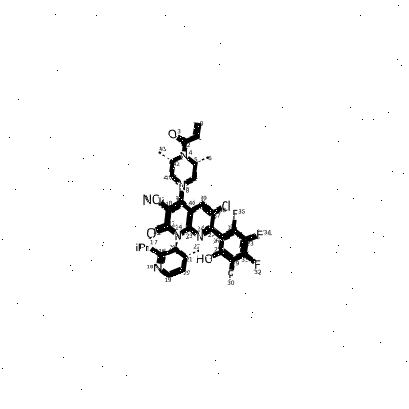 C=CC(=O)N1[C@H](C)CN(c2c(C#N)c(=O)n([C@H]3C(C(C)C)=NC=C[C@H]3C)c3nc(-c4c(O)c(F)c(F)c(F)c4F)c(Cl)cc23)C[C@@H]1C